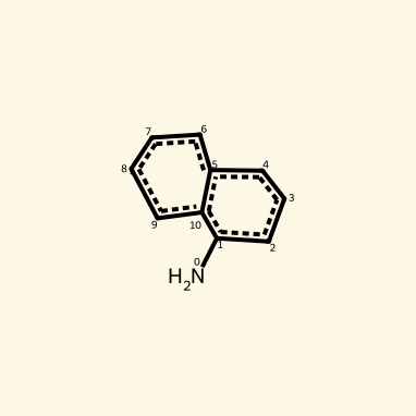 Nc1cccc2cc[c]cc12